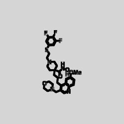 COc1ccc2ncc(CN3CCOCC3)c(CCCC3(C(=O)NO)CCN(CCSc4cc(F)c(F)c(F)c4)CC3)c2c1